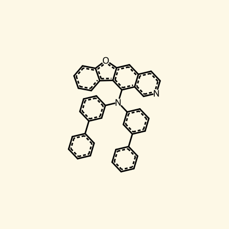 c1ccc(-c2cccc(N(c3cccc(-c4ccccc4)c3)c3c4cnccc4cc4oc5ccccc5c34)c2)cc1